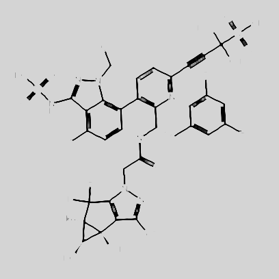 C[C@H]1[C@H]2C(F)(F)c3c(c(C(F)(F)F)nn3CC(=O)N[C@@H](Cc3cc(F)cc(F)c3)c3nc(C#CC(C)(C)S(C)(=O)=O)ccc3-c3ccc(Cl)c4c(NS(C)(=O)=O)nn(CC(F)(F)F)c34)[C@]12C